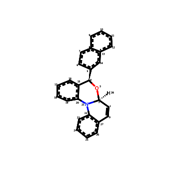 C1=C[C@@H]2O[C@H](c3ccc4ccccc4c3)c3ccccc3N2c2ccccc21